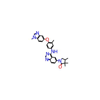 Cc1cc(Nc2ncnc3ccc(N4CC(C)C(C)(C)C4=O)cc23)ccc1Oc1ccc2c(c1)ncn2C